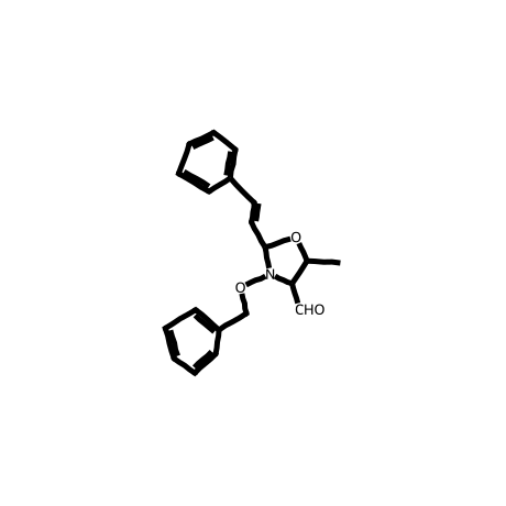 CC1OC(C=Cc2ccccc2)N(OCc2ccccc2)C1C=O